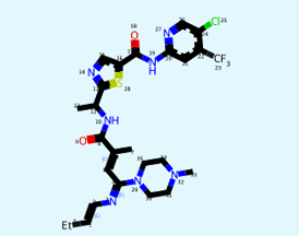 CC/C=C/N=C(\C=C(/C)C(=O)NC(C)c1ncc(C(=O)Nc2cc(C(F)(F)F)c(Cl)cn2)s1)N1CCN(C)CC1